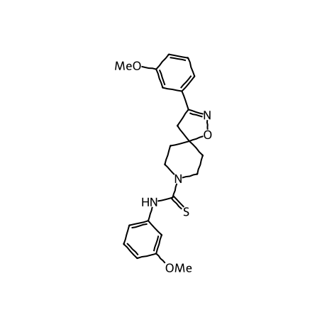 COc1cccc(NC(=S)N2CCC3(CC2)CC(c2cccc(OC)c2)=NO3)c1